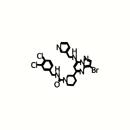 O=C(NCc1ccc(Cl)c(Cl)c1)N1CCCC(c2cc(NCc3cccnc3)n3ncc(Br)c3n2)C1